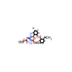 C=Cc1ccccc1COc1ccc(F)cc1CN/C(=N/C(=O)OC(C)(C)C)NC(=O)OC(C)(C)C